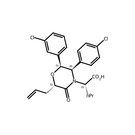 C=CC[C@@H]1O[C@@H](c2cccc(Cl)c2)[C@@H](c2ccc(Cl)cc2)N([C@@H](CCC)C(=O)O)C1=O